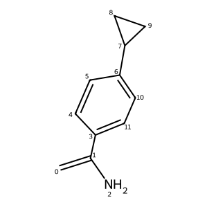 C=C(N)c1ccc(C2CC2)cc1